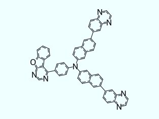 c1ccc2c(c1)oc1ncnc(-c3ccc(N(c4ccc5cc(-c6ccc7nccnc7c6)ccc5c4)c4ccc5cc(-c6ccc7nccnc7c6)ccc5c4)cc3)c12